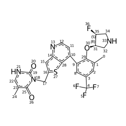 Cc1cc(C(F)(F)F)cc(-c2ccnc3cc(Cn4c(=O)[nH]cc(C)c4=O)sc23)c1O[C@@H]1CNC[C@@H]1F